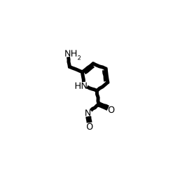 NCC1=CC=CC(C(=O)N=O)N1